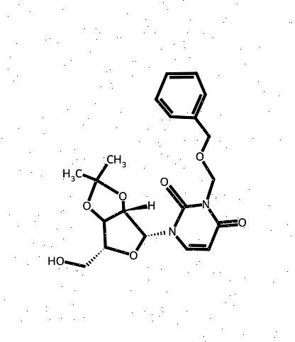 CC1(C)OC2[C@@H](CO)O[C@@H](n3ccc(=O)n(COCc4ccccc4)c3=O)[C@H]2O1